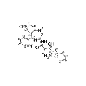 CC(C(=O)NC1CN(C)c2ccc(Cl)cc2C(c2ccccc2F)=N1)C(O)C(N)Cc1ccccc1